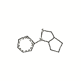 c1ccc(N2SCC3CCCC32)cc1